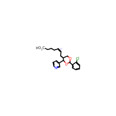 O=C(O)CCC/C=C\CC1COC(c2ccccc2Cl)OC1c1cccnc1